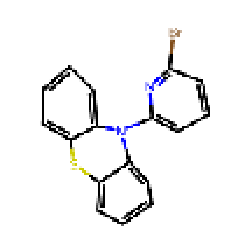 Brc1cccc(N2c3ccccc3Sc3ccccc32)n1